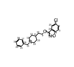 Clc1ccc2onc(OCCC3CCN(Cc4ccccc4)CC3)c2c1